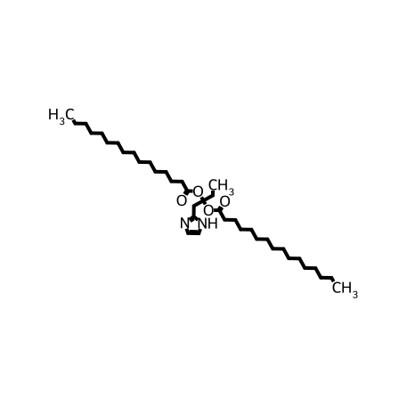 CCCCCCCCCCCCCCCC(=O)OC(CC)(Cc1ncc[nH]1)OC(=O)CCCCCCCCCCCCCCC